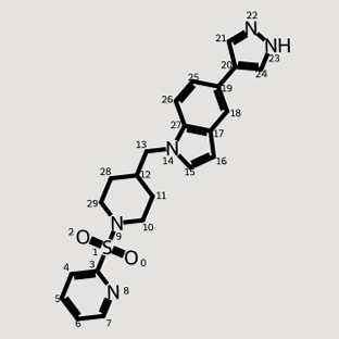 O=S(=O)(c1ccccn1)N1CCC(Cn2ccc3cc(-c4cn[nH]c4)ccc32)CC1